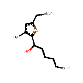 CCCCCCCCCCc1cc(C)c(C(O)CCCCC(=O)O)s1